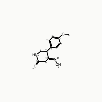 COc1ccc(C2CNC(=O)CC2=NO)cc1